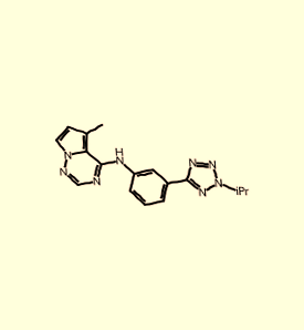 Cc1ccn2ncnc(Nc3cccc(-c4nnn(C(C)C)n4)c3)c12